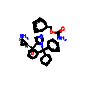 NC(=O)OCc1ccccc1.N[C@H]1C[C@H]1C(=O)c1cncn1C(c1ccccc1)(c1ccccc1)c1ccccc1